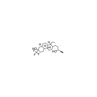 C#C[C@@H](O)[C@@H](C)[C@H]1CC[C@H]2[C@@H]3CC[C@@H]4C[C@@](O)(C(F)(F)F)CC[C@]4(C)[C@H]3CC[C@]12C